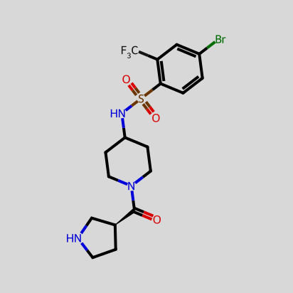 O=C([C@H]1CCNC1)N1CCC(NS(=O)(=O)c2ccc(Br)cc2C(F)(F)F)CC1